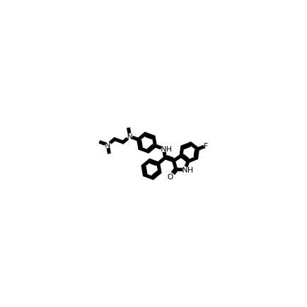 CN(C)CCN(C)c1ccc(NC(=C2C(=O)Nc3cc(F)ccc32)c2ccccc2)cc1